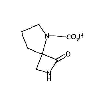 O=C(O)N1CCCC12CNC2=O